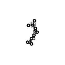 C1=C(n2c3ccccc3c3ccccc32)CCc2c1sc1cc(-c3cccc4c3oc3cc(-c5nc(-c6ccccc6)nc(-c6ccccc6)n5)ccc34)ccc21